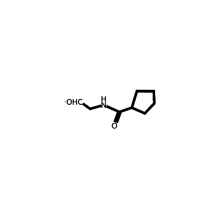 O=[C]CNC(=O)C1CCCC1